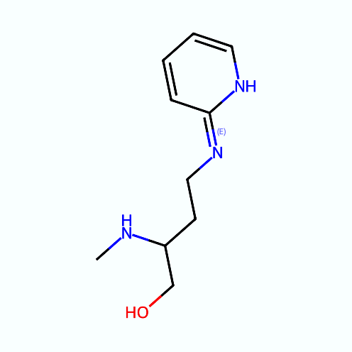 CNC(CO)CC/N=c1\cccc[nH]1